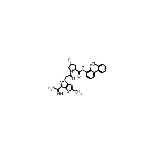 Cc1cc2c(s1)c(C(=N)N)nn2CC(=O)N1C[C@H](F)CC1C(=O)Nc1cccc(-c2ccccc2Cl)c1F